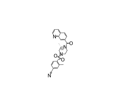 Cc1cc(C#N)ccc1S(=O)(=O)N1CCN(C(=O)c2ccc3cccnc3c2)[C@@H](C)C1